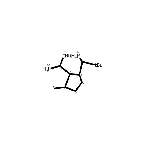 CC1CCC(C(P)C(C)(C)C)C1C(P)C(C)(C)C